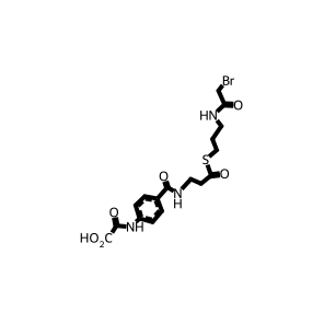 O=C(CBr)NCCCSC(=O)CCNC(=O)c1ccc(NC(=O)C(=O)O)cc1